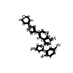 Fc1ccc(F)c([C@H]2C[C@H](F)CN2c2n[nH]c3ncc(-c4cnn(C5CCOCC5)c4)cc23)c1